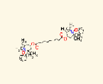 CC1(C)CC(OC(=O)CCCCCCCCC(=O)OC2CC(C)(C)N(OC34CCC(CC3)C4)C(C)(C)C2)CC(C)(C)N1OC12CCC(CC1)C2